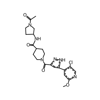 COc1cc(-c2cc(C(=O)N3CCC(C(=O)NC4CCN(C(C)=O)C4)CC3)n[nH]2)c(Cl)cn1